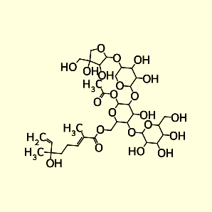 C=CC(C)(O)CC/C=C(\C)C(=O)OCC1OC(OC(C)=O)C(OC2OCC(OC3OCC(O)(CO)C3O)C(O)C2O)C(O)C1OC1OC(CO)C(O)C(O)C1O